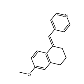 COc1ccc2c(c1)CCC/C2=C\c1ccncc1